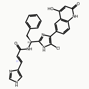 O=C(/C=C/c1c[nH]cn1)N[C@@H](Cc1ccccc1)c1nc(-c2ccc3[nH]c(=O)cc(O)c3c2)c(Cl)[nH]1